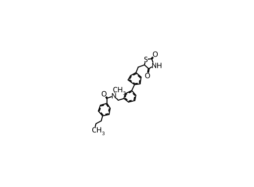 CCCc1ccc(C(=O)N(C)Cc2cccc(-c3ccc(CC4SC(=O)NC4=O)cc3)c2)cc1